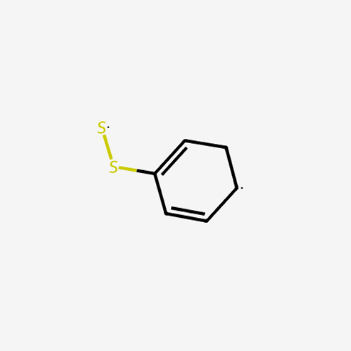 [S]SC1=CC[CH]C=C1